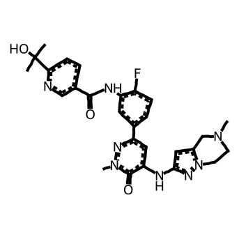 CN1CCn2nc(Nc3cc(-c4ccc(F)c(NC(=O)c5ccc(C(C)(C)O)nc5)c4)nn(C)c3=O)cc2C1